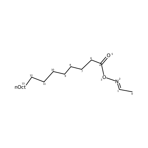 CC=NOC(=O)CCCCCCCCCCCCCCC